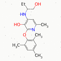 CCC(CO)Nc1cc(C)nc(Oc2c(C)cc(C)cc2C)c1O